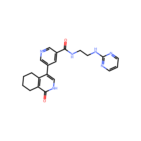 O=C(NCCNc1ncccn1)c1cncc(-c2c[nH]c(=O)c3c2CCCC3)c1